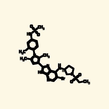 CCS(=O)(=O)N1CC[C@H](Nc2c(Br)cnc3[nH]c(-c4cc(C)n(-c5ccc(NS(C)(=O)=O)cc5C)c4C)nc23)C1